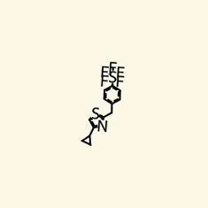 FS(F)(F)(F)(F)c1ccc(Cc2nc(C3CC3)cs2)cc1